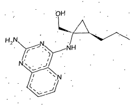 CCC[C@@H]1C[C@@]1(CO)Nc1nc(N)nc2cccnc12